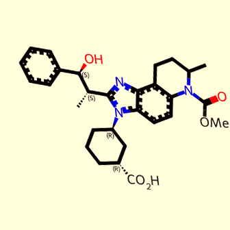 COC(=O)N1c2ccc3c(nc([C@H](C)[C@H](O)c4ccccc4)n3[C@@H]3CCC[C@@H](C(=O)O)C3)c2CCC1C